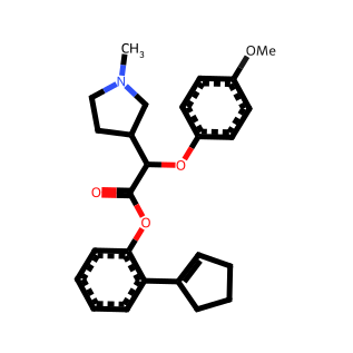 COc1ccc(OC(C(=O)Oc2ccccc2C2=CCCC2)C2CCN(C)C2)cc1